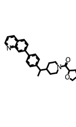 CC(c1ccc(-c2ccc3cccnc3c2)cc1)C1CCN(C(=O)C2CCCO2)CC1